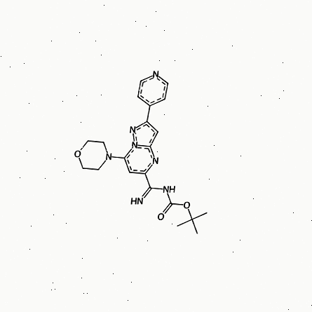 CC(C)(C)OC(=O)NC(=N)c1cc(N2CCOCC2)n2nc(-c3ccncc3)cc2n1